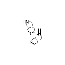 [c]1nc2c(cc1C1NC=Cc3ccncc31)C=CNC2